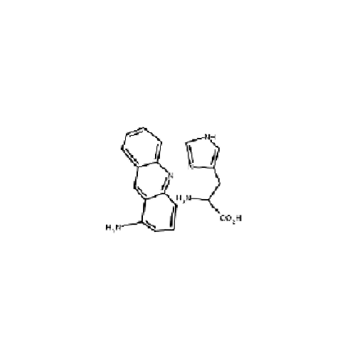 NC(Cc1c[nH]cn1)C(=O)O.Nc1cccc2nc3ccccc3cc12